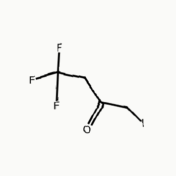 O=C(CI)CC(F)(F)F